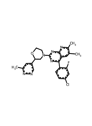 Cc1cc(C2CN(c3nc(-c4ccc(Cl)cc4F)c4cc(C)c(C)nc4n3)CCO2)cnn1